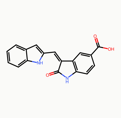 O=C1Nc2ccc(C(=O)O)cc2C1=Cc1cc2ccccc2[nH]1